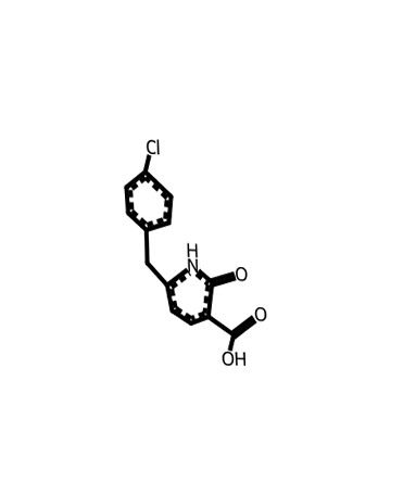 O=C(O)c1ccc(Cc2ccc(Cl)cc2)[nH]c1=O